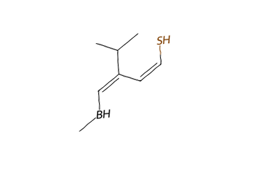 CB/C=C(\C=C/S)C(C)C